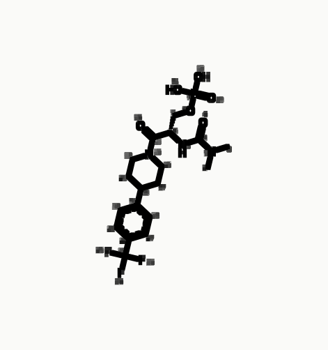 CN(C)C(=O)N[C@@H](COP(=O)(O)O)C(=O)N1CCC(c2ccc(C(F)(F)F)cc2)CC1